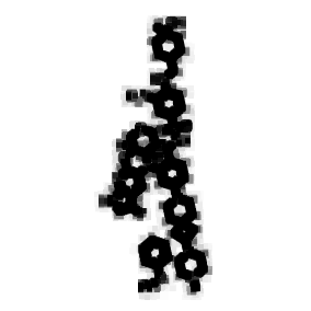 CC(C)Oc1ccccc1[C@H]1CN(C)CCN1C1CC2(CCN(c3ccc(C(=O)NS(=O)(=O)c4ccc(NCC5CCC(C)(O)CC5)c([N+](=O)[O-])c4)c(N4c5cc6c(F)c[nH]c6nc5O[C@H]5COCC[C@@H]54)c3)CC2)C1